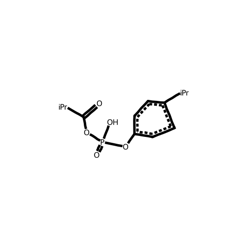 CC(C)C(=O)OP(=O)(O)Oc1ccc(C(C)C)cc1